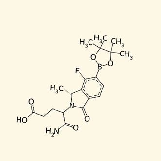 C[C@@H]1c2c(ccc(B3OC(C)(C)C(C)(C)O3)c2F)C(=O)N1C(CCC(=O)O)C(N)=O